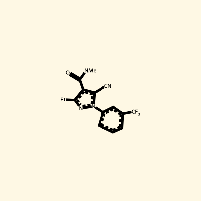 CCc1nn(-c2cccc(C(F)(F)F)c2)c(C#N)c1C(=O)NC